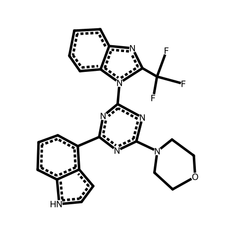 FC(F)(F)c1nc2ccccc2n1-c1nc(-c2cccc3[nH]ccc23)nc(N2CCOCC2)n1